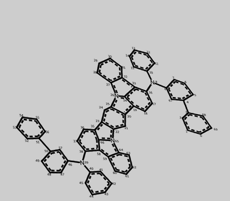 c1ccc(-c2cccc(N(c3ccccc3)c3ccc4c5cc6c(cc5n5c7ccccc7c3c45)c3ccc(N(c4ccccc4)c4cccc(-c5ccccc5)c4)c4c5ccccc5n6c34)c2)cc1